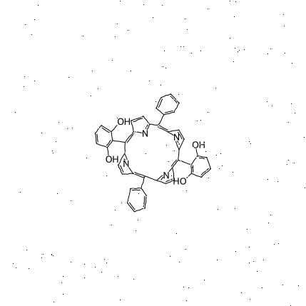 Oc1cccc(O)c1C1=C2C=CC(=N2)C(c2ccccc2)=C2C=CC(=N2)C(c2c(O)cccc2O)=C2C=CC(=N2)C(c2ccccc2)=C2C=CC1=N2